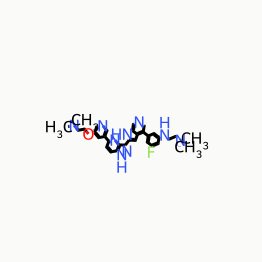 CN(C)CCNc1cc(F)cc(-c2cncc3[nH]c(-c4n[nH]c5ccc(-c6cncc(OCCN(C)C)c6)nc45)cc23)c1